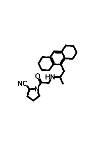 CC(Cc1c2c(cc3c1CCCC3)CCCC2)NCC(=O)N1CCCC1C#N